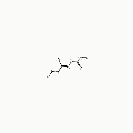 CCCC(S)=NOC(=O)NC